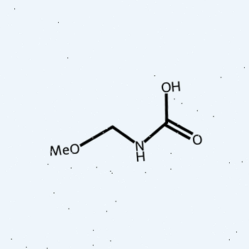 COCNC(=O)O